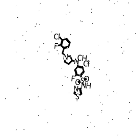 CN(c1cc(F)c(S(=O)(=O)Nc2cscn2)cc1Cl)C1CCN(Cc2cccc(Cl)c2F)C1